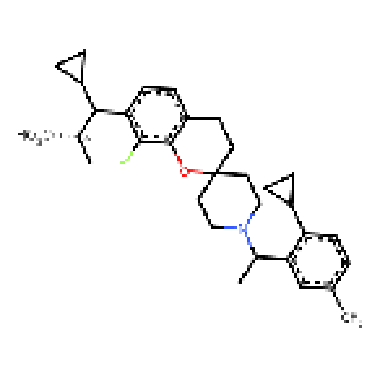 CC(c1cc(C(F)(F)F)ccc1C1CC1)N1CCC2(CCc3ccc(C(C4CC4)[C@H](C)C(=O)O)c(F)c3O2)CC1